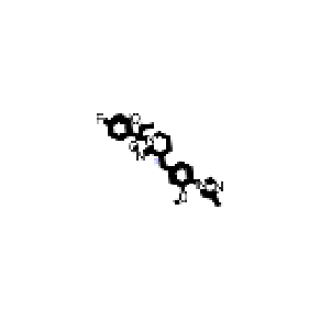 COc1cc(/C=C2\CCCN3C2=NOC3(c2ccc(F)cc2)C(C)O)ccc1-n1cnc(C)c1